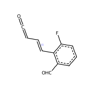 O=C=C/C=C/c1c(F)cccc1C=O